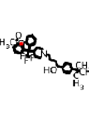 CC(=O)Oc1ccccc1C(c1ccccc1)(C1CCN(CCCC(O)c2ccc(C(C)(C)C)cc2)CC1)C(F)(F)F